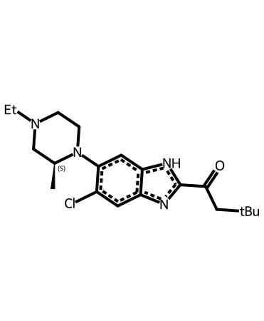 CCN1CCN(c2cc3[nH]c(C(=O)CC(C)(C)C)nc3cc2Cl)[C@@H](C)C1